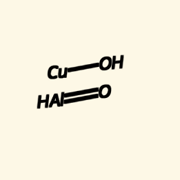 [OH][Cu].[O]=[AlH]